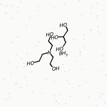 B.OCC(O)CO.OCCN(CCO)CCO